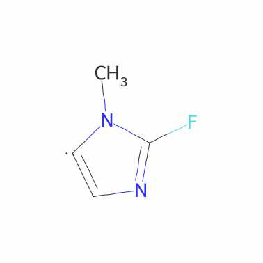 Cn1[c]cnc1F